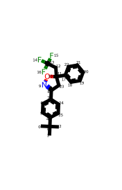 CC(C)(C)c1ccc(C2=NOC(CC(F)(F)F)(c3ccccc3)C2)cc1